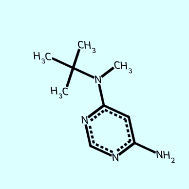 CN(c1cc(N)ncn1)C(C)(C)C